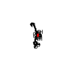 COc1ccc(CNC(=O)[C@H]2[C@H](C(=O)NCCCCN3CCCC3)[C@H]3C=C[C@@H]2C32CC2)cc1OC